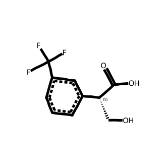 O=C(O)[C@H](CO)c1cccc(C(F)(F)F)c1